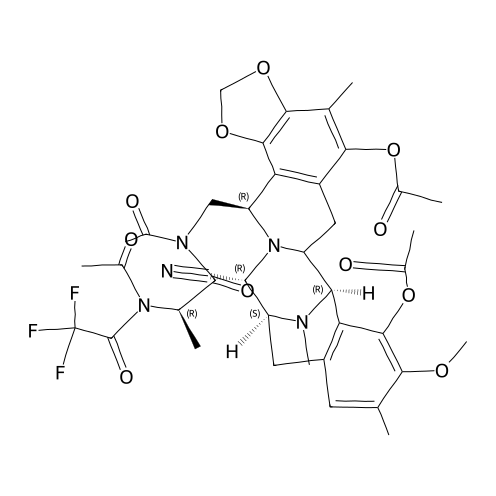 COc1c(C)cc2c(c1OC(C)=O)[C@@H]1C3Cc4c(OC(C)=O)c(C)c5c(c4[C@H](CN(C(C)=O)C(=O)[C@@H](C)N(C(C)=O)C(=O)C(F)(F)F)N3[C@@H](C#N)[C@H](C2)N1C)OCO5